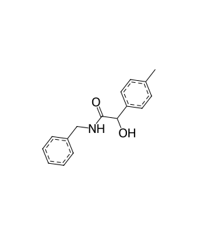 Cc1ccc(C(O)C(=O)NCc2ccccc2)cc1